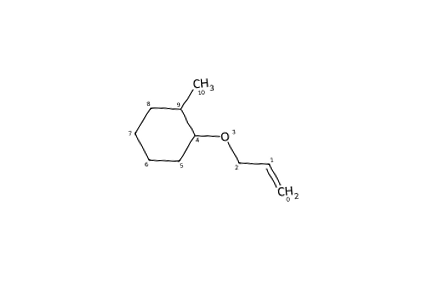 C=CCOC1CCCCC1C